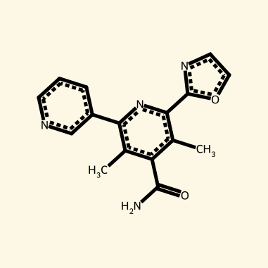 Cc1c(-c2cccnc2)nc(-c2ncco2)c(C)c1C(N)=O